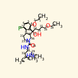 C=CCOc1ccc(F)cc1C(O)(CCCCOCC)[C@@H]1CCCN(C(=O)N[C@H](CNC)CC(C)C)C1